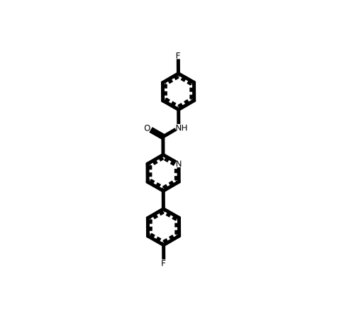 O=C(Nc1ccc(F)cc1)c1ccc(-c2ccc(F)cc2)cn1